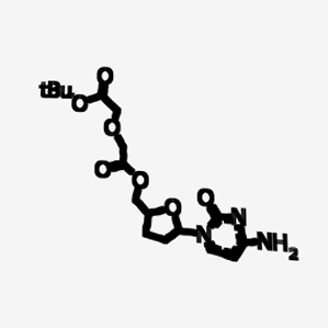 CC(C)(C)OC(=O)COCC(=O)OCC1CCC(n2ccc(N)nc2=O)O1